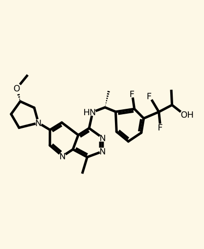 CO[C@H]1CCN(c2cnc3c(C)nnc(N[C@H](C)c4cccc(C(F)(F)C(C)O)c4F)c3c2)C1